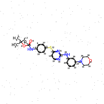 CC(C)(C)OC(=O)Nc1ccc(Sc2ccnc(Nc3cccc(N4CCOCC4)c3)n2)cc1